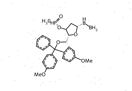 BB[C@H]1CC(O[PH](C)=O)[C@@H](COC(c2ccccc2)(c2ccc(OC)cc2)c2ccc(OC)cc2)O1